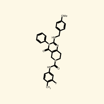 COc1ccc(CNc2nc3c(c(=O)n2-c2ccccc2)CN(C(=O)Nc2ccc(C)c(F)c2)CC3)cc1